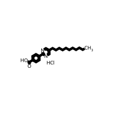 CCCCCCCCCCCc1cnc(-c2ccc(C(=O)O)cc2)nc1.Cl